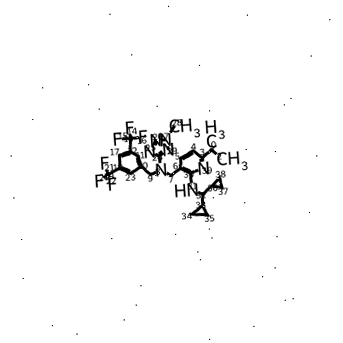 CC(C)c1ccc(CN(Cc2cc(C(F)(F)F)cc(C(F)(F)F)c2)c2nnn(C)n2)c(NC(C2CC2)C2CC2)n1